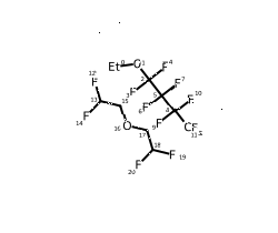 CCOC(F)(F)C(F)(F)C(F)(F)C(F)(F)F.FC(F)COCC(F)F